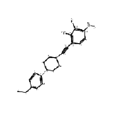 CCc1ccc([C@H]2CC[C@H](C#Cc3ccc(OC)c(F)c3F)CC2)cc1